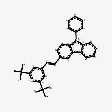 CC(C)(C)c1cc(/C=C/c2ccc3c(c2)c2ccccc2n3-c2ccccc2)cc(C(C)(C)C)[o+]1